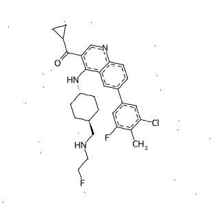 Cc1c(F)cc(-c2ccc3ncc(C(=O)C4CC4)c(N[C@H]4CC[C@H](CNCCF)CC4)c3c2)cc1Cl